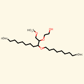 CCCCCCCCCCCCCCCCCCOC(CCCCCCCCCCCCCCCCC)C(COS(=O)(=O)O)OCCO